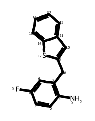 Nc1ccc(F)cc1Cc1cc2ccccc2s1